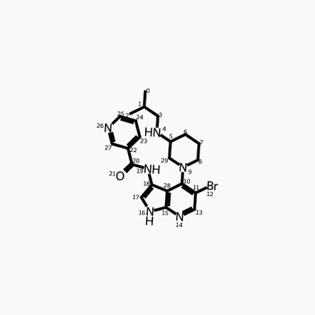 CC(C)CNC1CCCN(c2c(Br)cnc3[nH]cc(NC(=O)c4cccnc4)c23)C1